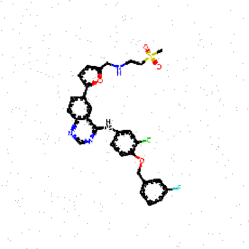 CS(=O)(=O)CCNCc1ccc(-c2ccc3ncnc([AsH]c4ccc(OCc5cccc(F)c5)c(Cl)c4)c3c2)o1